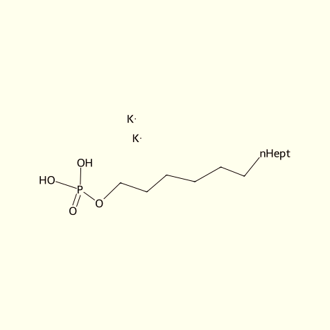 CCCCCCCCCCCCCOP(=O)(O)O.[K].[K]